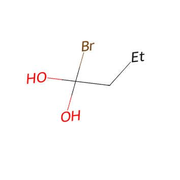 CCCC(O)(O)Br